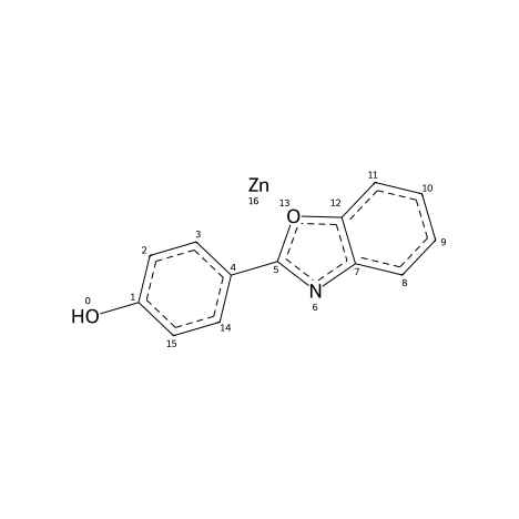 Oc1ccc(-c2nc3ccccc3o2)cc1.[Zn]